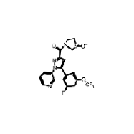 O=C(c1cc(C2=CC(F)CC(OC(F)(F)F)=C2)n(-c2cccnc2)n1)N1CC[S+]([O-])C1